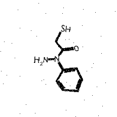 NN(C(=O)CS)c1ccccc1